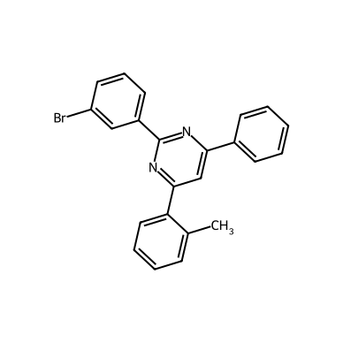 Cc1ccccc1-c1cc(-c2ccccc2)nc(-c2cccc(Br)c2)n1